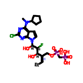 CC/C=C(/COP(=O)(O)CP(=O)(O)O)[C@@H](O)[C@H](F)[C@@H](O)n1ccc2c(N(C)C3CCCC3)nc(Cl)nc21